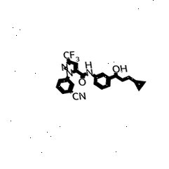 N#Cc1cccc(-n2nc(C(F)(F)F)cc2C(=O)Nc2cccc(C(O)CCC3CC3)c2)c1